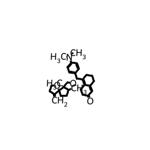 C=C1CCOC12CCC(C)[C@]2(C)CO[C@@H](C1=C2CCC(=O)C=C2CCC1)c1ccc(N(C)C)cc1